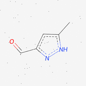 Cc1cc([C]=O)n[nH]1